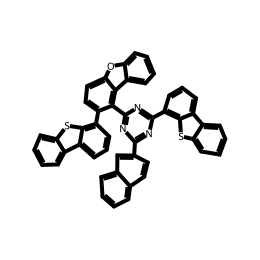 c1ccc2cc(-c3nc(-c4cccc5c4sc4ccccc45)nc(-c4c(-c5cccc6c5sc5ccccc56)ccc5oc6ccccc6c45)n3)ccc2c1